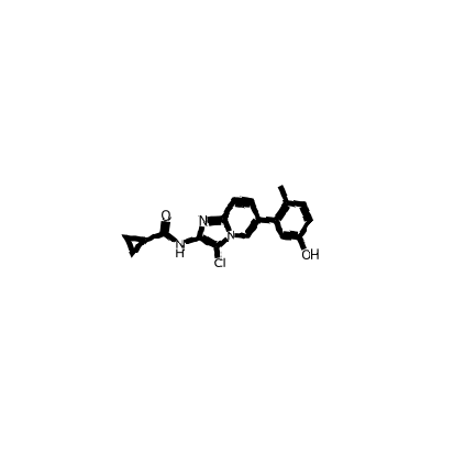 Cc1ccc(O)cc1-c1ccc2nc(NC(=O)C3CC3)c(Cl)n2c1